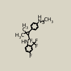 CSNc1ccc(C2C(CNc3ccc(F)cc3C(F)(F)F)C2(C)C)cc1